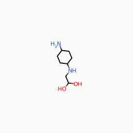 NC1CCC(NCC(O)O)CC1